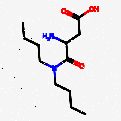 CCCCN(CCCC)C(=O)C(N)CC(=O)O